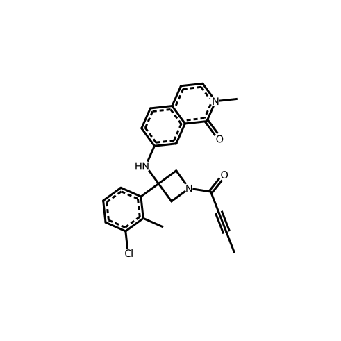 CC#CC(=O)N1CC(Nc2ccc3ccn(C)c(=O)c3c2)(c2cccc(Cl)c2C)C1